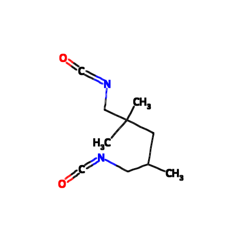 CC(CN=C=O)CC(C)(C)CN=C=O